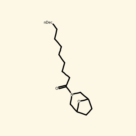 CCCCCCCCCCCCCCCCCC(=O)N1CC2CCC(C1)O2